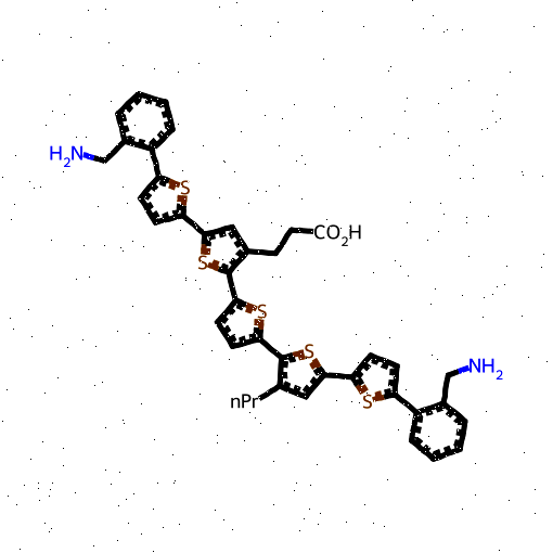 CCCc1cc(-c2ccc(-c3ccccc3CN)s2)sc1-c1ccc(-c2sc(-c3ccc(-c4ccccc4CN)s3)cc2CCC(=O)O)s1